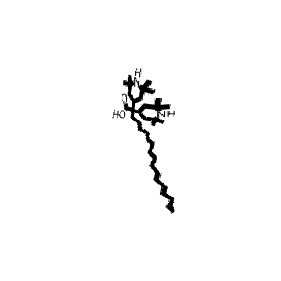 CCCCCCCCCCCCCCCCC(C(=O)O)(C1CC(C)(C)NC(C)(C)C1)C1CC(C)(C)NC(C)(C)C1